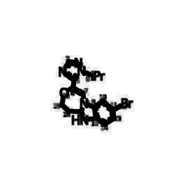 CC(C)n1ncnc1C1=CN2c3cc(Br)ccc3NC2CCO1